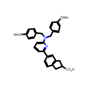 COc1ccc(CN(Cc2ccc(OC)cc2)c2cccc(-c3ccc4c(c3)CC(C(=O)O)C4)n2)cc1